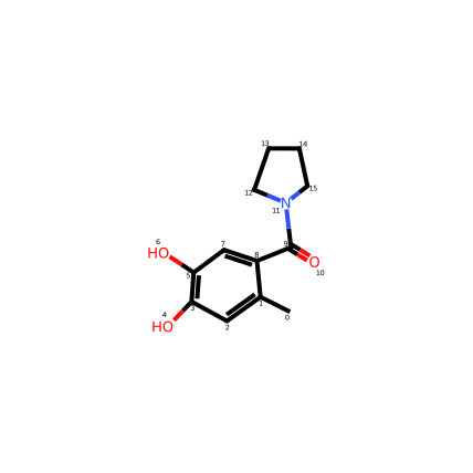 Cc1cc(O)c(O)cc1C(=O)N1CCCC1